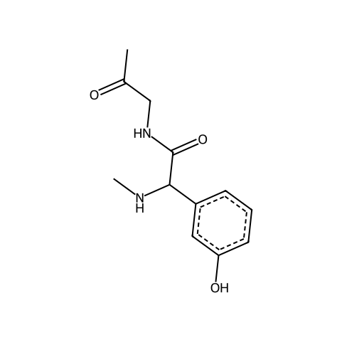 CNC(C(=O)NCC(C)=O)c1cccc(O)c1